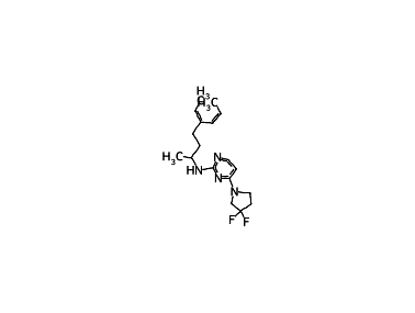 C/C=C\C(=C/C)CCC(C)Nc1nccc(N2CCC(F)(F)C2)n1